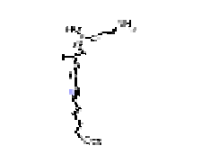 CCCCCCCCCCCCCC/C=C/OCC(I)COP(O)OCCN